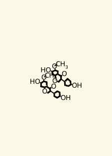 COc1cc2c(=O)c(-c3ccc(O)cc3)coc2cc1O.COc1cc2c(=O)c(-c3ccc(O)cc3)coc2cc1O